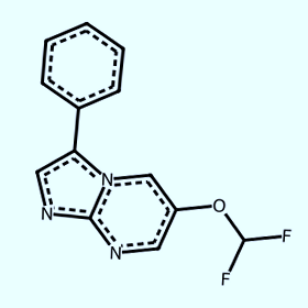 FC(F)Oc1cnc2ncc(-c3ccccc3)n2c1